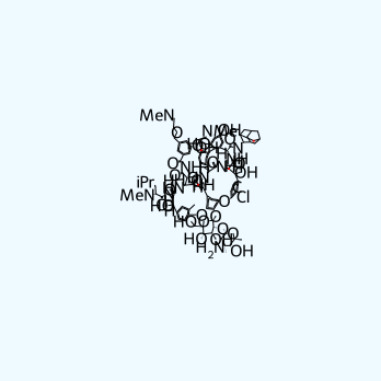 CNCCOCc1cc(OCCNC)cc(C(=O)NC(=O)C[C@@H]2NC(=O)[C@H](NC(=O)[C@@H](CC(C)C)NC)[C@H](O)c3ccc(c(C)c3)Oc3cc4cc(c3O[C@@H]3O[C@H](CO)[C@@H](O)[C@H](O)[C@H]3O[C@H]3C[C@](C)(N)[C@H](O)[C@H](C)O3)Oc3ccc(cc3Cl)[C@@H](O)[C@@H]3NC(=O)[C@H](NC(=O)[C@@H]4NC2=O)c2ccc(O)c(c2)-c2c(O)cc(O)cc2[C@@H](C(=O)NC2C4CC5CC(C4)CC2C5)NC3=O)c1